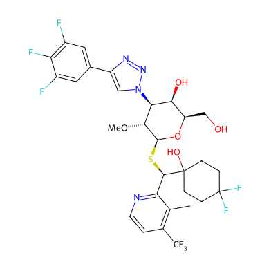 CO[C@@H]1[C@@H](n2cc(-c3cc(F)c(F)c(F)c3)nn2)[C@@H](O)[C@@H](CO)O[C@H]1S[C@H](c1nccc(C(F)(F)F)c1C)C1(O)CCC(F)(F)CC1